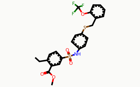 CCc1ccc(S(=O)(=O)Nc2ccc(SCc3ccccc3OC(F)(F)F)cc2)cc1C(=O)OC